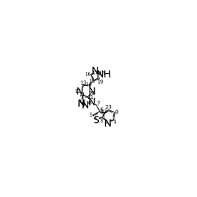 c1cnc2scc(Cn3nnc4ncc(-c5cn[nH]c5)nc43)c2c1